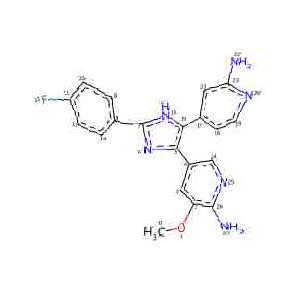 COc1cc(-c2nc(-c3ccc(F)cc3)[nH]c2-c2ccnc(N)c2)cnc1N